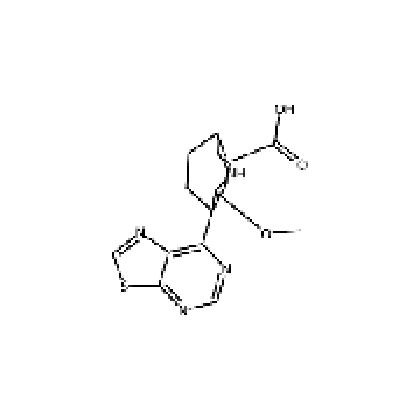 COC1NCC2CCC1(c1ncnc3scnc13)CN2C(=O)O